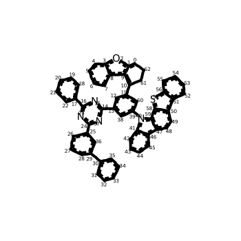 C1=c2oc3ccccc3c2=C(c2cc(-c3nc(-c4ccccc4)nc(-c4cccc(-c5ccccc5)c4)n3)cc(-n3c4ccccc4c4ccc5c6ccccc6sc5c43)c2)CC1